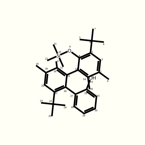 Cc1cc(C(C)(C)C)c(O[Si](C)(C)C)c(-c2c(C)c(C)cc(C(C)(C)C)c2-c2ccccc2O)c1C